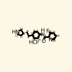 Cl.O=C(Nc1ccc(CC[C@@H]2CCNC2)cc1)c1ncccc1F